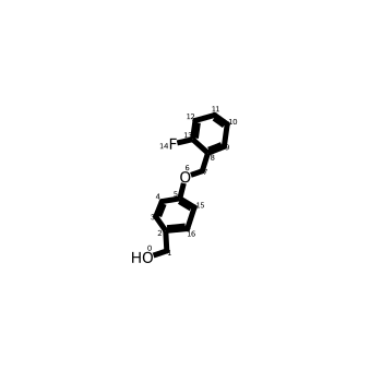 OCc1ccc(OCc2ccccc2F)cc1